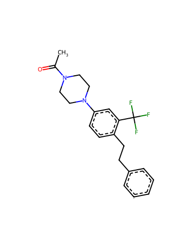 CC(=O)N1CCN(c2ccc(CCc3c[c]ccc3)c(C(F)(F)F)c2)CC1